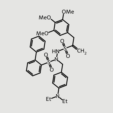 C=C(Cc1cc(OC)c(OC)c(OC)c1)S(=O)(=O)NN(Cc1ccc(N(CC)CC)cc1)S(=O)(=O)c1ccccc1-c1ccccc1